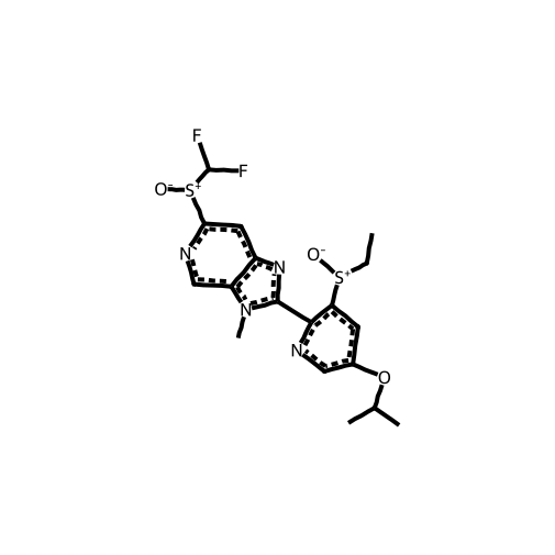 CC[S+]([O-])c1cc(OC(C)C)cnc1-c1nc2cc([S+]([O-])C(F)F)ncc2n1C